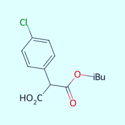 CCC(C)OC(=O)C(C(=O)O)c1ccc(Cl)cc1